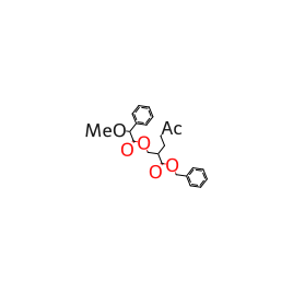 COC(C(=O)OCC(CCC(C)=O)C(=O)OCc1ccccc1)c1ccccc1